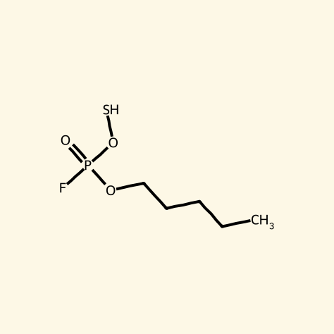 CCCCCOP(=O)(F)OS